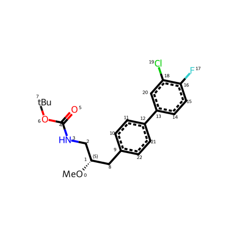 CO[C@H](CNC(=O)OC(C)(C)C)Cc1ccc(-c2ccc(F)c(Cl)c2)cc1